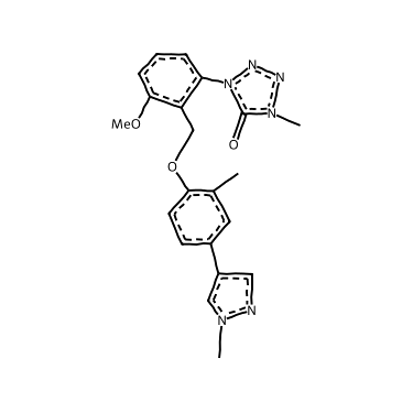 COc1cccc(-n2nnn(C)c2=O)c1COc1ccc(-c2cnn(C)c2)cc1C